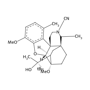 COc1ccc(C)c2c1O[C@H]1[C@]3(OC)CC[C@@]4(C[C@@H]3[C@](C)(O)C(C)(C)C)C(C)N(C#N)CC[C@]214